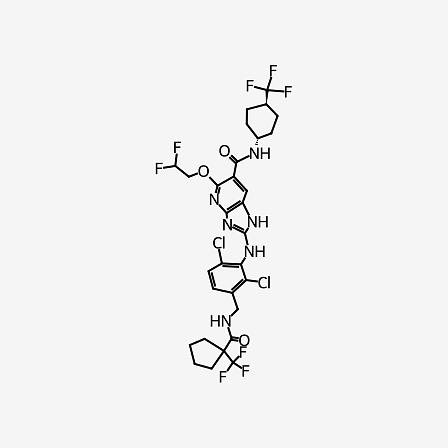 O=C(N[C@H]1CC[C@H](C(F)(F)F)CC1)c1cc2[nH]c(Nc3c(Cl)ccc(CNC(=O)C4(C(F)(F)F)CCCC4)c3Cl)nc2nc1OCC(F)F